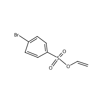 C=COS(=O)(=O)c1ccc(Br)cc1